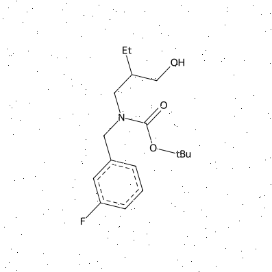 CCC(CO)CN(Cc1cccc(F)c1)C(=O)OC(C)(C)C